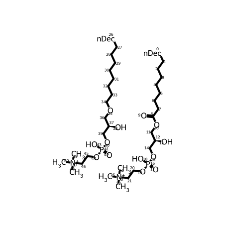 CCCCCCCCCCCCCCCCCC(=O)OC[C@@H](O)COP(=O)(O)OCC[N+](C)(C)C.CCCCCCCCCCCCCCCCCCOC[C@@H](O)COP(=O)(O)OCC[N+](C)(C)C